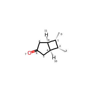 C[C@@H]1[C@H](C)[C@H]2CC(=O)C[C@@H]12